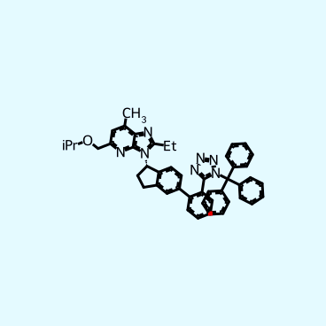 CCc1nc2c(C)cc(COC(C)C)nc2n1[C@H]1CCc2cc(-c3ccccc3-c3nnnn3C(c3ccccc3)(c3ccccc3)c3ccccc3)ccc21